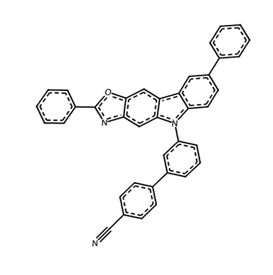 N#Cc1ccc(-c2cccc(-n3c4ccc(-c5ccccc5)cc4c4cc5oc(-c6ccccc6)nc5cc43)c2)cc1